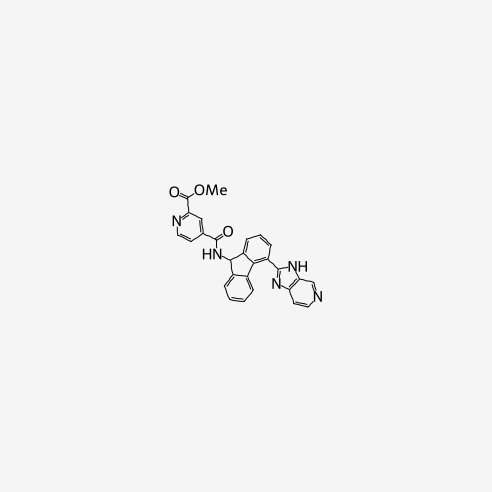 COC(=O)c1cc(C(=O)NC2c3ccccc3-c3c(-c4nc5ccncc5[nH]4)cccc32)ccn1